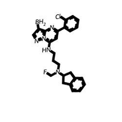 Bc1cnn2c(NCCCN(CF)C3Cc4ccccc4C3)cc(-c3ccccc3Cl)nc12